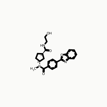 CN(C(=O)c1ccc(-c2nc3ccccc3o2)cc1)[C@@H]1CC[C@@H](C(=O)NCCO)C1